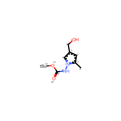 Cc1cc(CO)cn1NC(=O)OC(C)(C)C